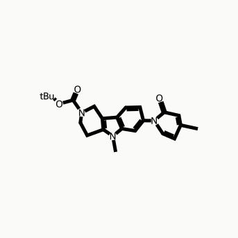 Cc1ccn(-c2ccc3c4c(n(C)c3c2)CCN(C(=O)OC(C)(C)C)C4)c(=O)c1